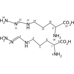 NN=CNCCCC(N)C(=O)O.NN=CNCCCC(N)C(=O)O